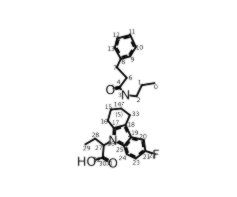 CCCN(C(=O)CCc1ccccc1)[C@H]1CCc2c(c3cc(F)ccc3n2C(CC)C(=O)O)C1